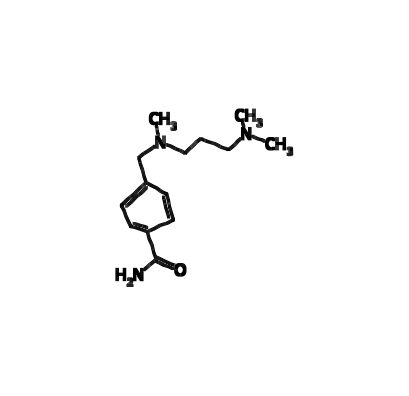 CN(C)CCCN(C)Cc1ccc(C(N)=O)cc1